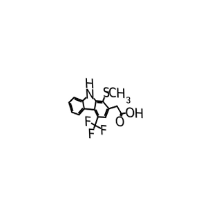 CSc1c(CC(=O)O)cc(C(F)(F)F)c2c1[nH]c1ccccc12